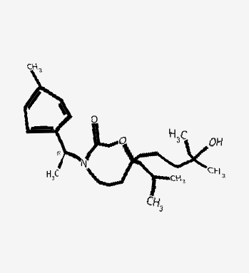 Cc1ccc([C@H](C)N2CCC(CCC(C)(C)O)(C(C)C)OC2=O)cc1